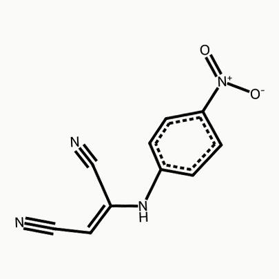 N#C/C=C(\C#N)Nc1ccc([N+](=O)[O-])cc1